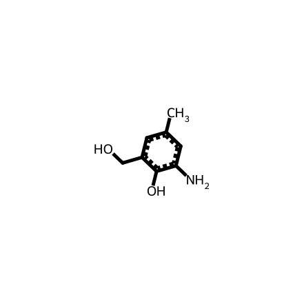 Cc1cc(N)c(O)c(CO)c1